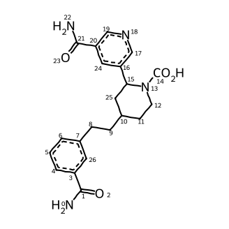 NC(=O)c1cccc(CCC2CCN(C(=O)O)C(c3cncc(C(N)=O)c3)C2)c1